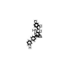 CC(Nc1nc(C2=CCN(C3CCCNC3)CC2)ncc1Cl)c1ccc(Cl)cc1Cl.Cl.Cl